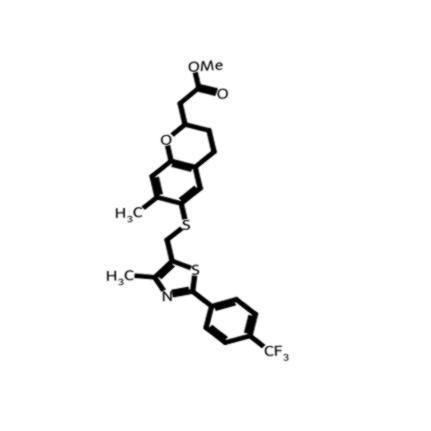 COC(=O)CC1CCc2cc(SCc3sc(-c4ccc(C(F)(F)F)cc4)nc3C)c(C)cc2O1